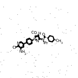 CC(C)N(c1nn(-c2ccc(-c3cnc(Cl)c(N)c3)cc2)cc1C(=O)O)C(=O)[C@H]1CC[C@H](C)CC1